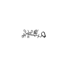 CCCC(=O)NC(C)C(=O)Nc1cc(C(C)(C)Cc2ccccc2)nn1C(C)(C)C